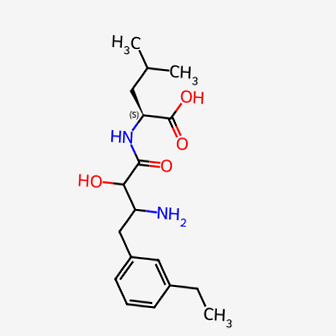 CCc1cccc(CC(N)C(O)C(=O)N[C@@H](CC(C)C)C(=O)O)c1